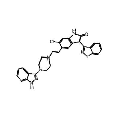 O=C1Nc2cc(Cl)c(CCN3CCN(c4n[nH]c5ccccc45)CC3)cc2C1c1nsc2ccccc12